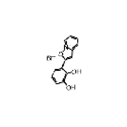 Oc1cccc(-c2cc3cccc[n+]3o2)c1O.[Br-]